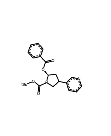 CC(C)(C)OC(=O)N1CC(c2cccnc2)C[C@@H]1OC(=O)c1ccccc1